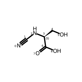 N#CN[C@@H](CO)C(=O)O